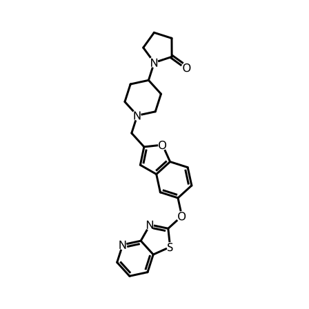 O=C1CCCN1C1CCN(Cc2cc3cc(Oc4nc5ncccc5s4)ccc3o2)CC1